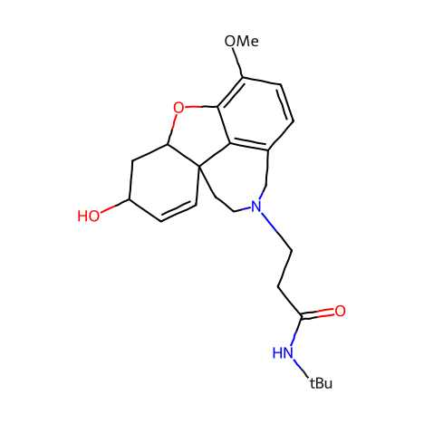 COc1ccc2c3c1OC1CC(O)C=CC31CCN(CCC(=O)NC(C)(C)C)C2